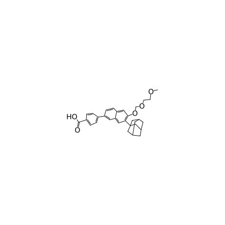 COCCOCOc1cc2ccc(-c3ccc(C(=O)O)cc3)cc2cc1C12CC3CC(CC(C3)C1)C2